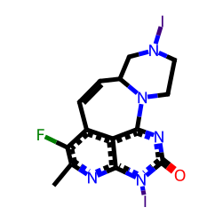 Cc1nc2c3c(nc(=O)n2I)N2CCN(I)CC2C=Cc3c1F